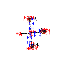 CC(=O)N[C@@H]1[C@@H](O)[C@@H](O)[C@@H](CO)O[C@H]1SCCC(=O)NCCCCCNC(=O)CCOCC(COCCC(=O)NCCCCCNC(=O)CCS[C@@H]1O[C@H](CO)[C@H](O)[C@H](O)[C@H]1NC(C)=O)(COCCC(=O)NCCCCCNC(=O)CCS[C@@H]1O[C@H](CO)[C@H](O)[C@H](O)[C@H]1NC(C)=O)NC(=O)CCCCCCCCCCC(=O)O